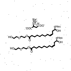 CCCCCC[C@@H](O)C/C=C\CCCCCCCC(=O)OCCOCCO.CCCCCC[C@@H](O)C/C=C\CCCCCCCC(=O)OCCOCCO.O=C([O-])CC(C(=O)[O-])S(=O)(=O)O.[Na+].[Na+]